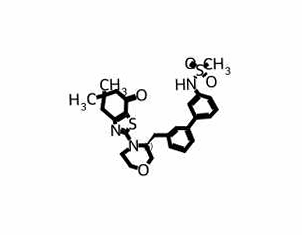 CC1(C)CC(=O)c2sc(N3CCOC[C@@H]3Cc3cccc(-c4cccc(NS(C)(=O)=O)c4)c3)nc2C1